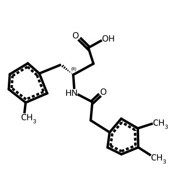 Cc1cccc(C[C@H](CC(=O)O)NC(=O)Cc2ccc(C)c(C)c2)c1